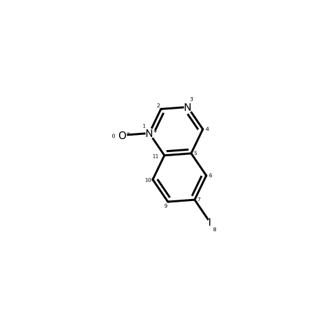 [O-][n+]1cncc2cc(I)ccc21